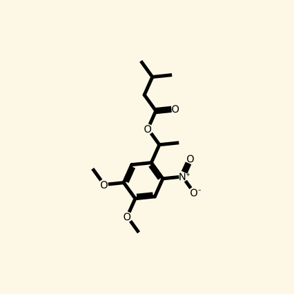 COc1cc(C(C)OC(=O)CC(C)C)c([N+](=O)[O-])cc1OC